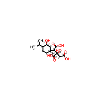 CC(C)C1CCC(C)(C(C(=O)O)C(O)(CC(=O)O)C(=O)O)CC1O